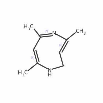 C/C1=C/C(C)=N\C(C)=C\CN1